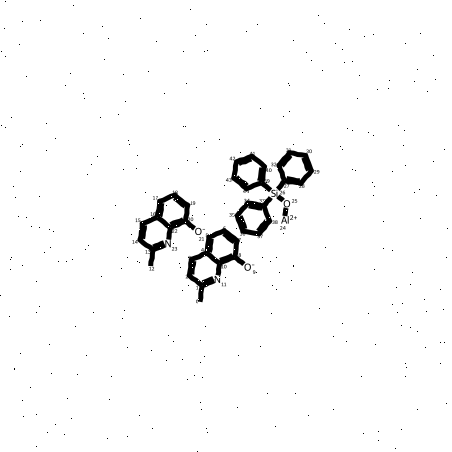 Cc1ccc2cccc([O-])c2n1.Cc1ccc2cccc([O-])c2n1.[Al+2][O][Si](c1ccccc1)(c1ccccc1)c1ccccc1